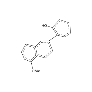 COc1cccc2cc(-c3ccccc3O)ccc12